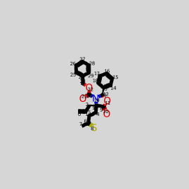 C=CC[C@]1(CCC(C)=S)C(=O)O[C@H](c2ccccc2)N1C(=O)OCc1ccccc1